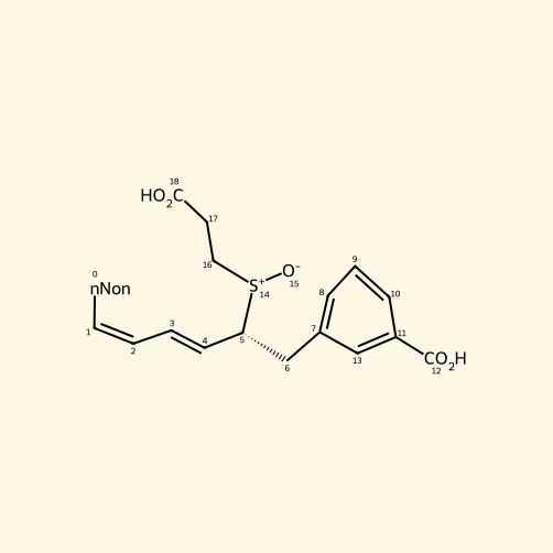 CCCCCCCCC/C=C\C=C\[C@@H](Cc1cccc(C(=O)O)c1)[S+]([O-])CCC(=O)O